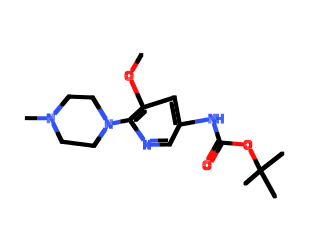 COc1cc(NC(=O)OC(C)(C)C)cnc1N1CCN(C)CC1